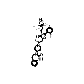 CC(C)(C)CCN1C(=O)C(CC(=O)N2CCC(N3CCc4ccccc4NC3=O)CC2)SC1c1ccccc1F